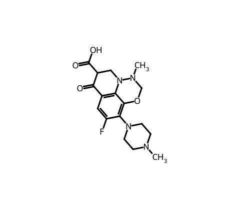 CN1CCN(c2c(F)cc3c4c2OCN(C)N4CC(C(=O)O)C3=O)CC1